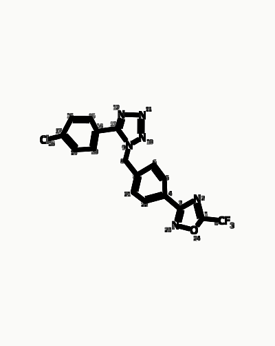 FC(F)(F)c1nc(-c2ccc(Cn3nnnc3-c3ccc(Cl)cc3)cc2)no1